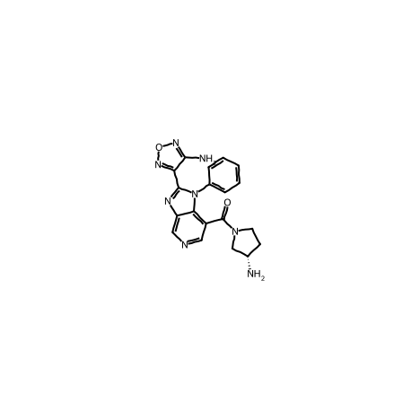 Nc1nonc1-c1nc2cncc(C(=O)N3CC[C@H](N)C3)c2n1-c1ccccc1